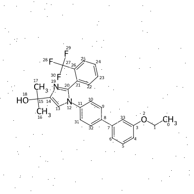 CCOc1cccc(-c2ccc(-n3cc(C(C)(C)O)nc3-c3ccccc3C(F)(F)F)cc2)c1